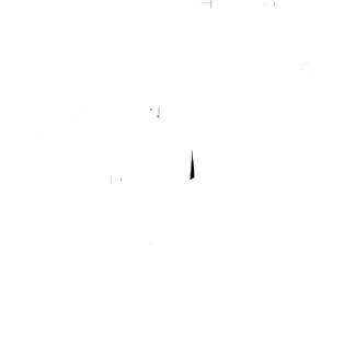 COC(=O)C1C[C@@H](CO[Si](C)(C)C(C)(C)C)N(C(=O)OC(C)(C)C)CC1O